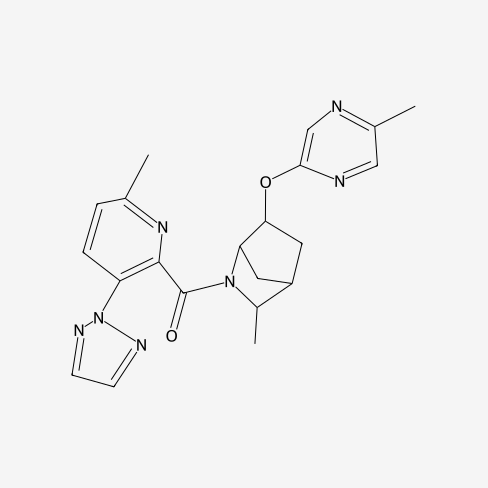 Cc1cnc(OC2CC3CC2N(C(=O)c2nc(C)ccc2-n2nccn2)C3C)cn1